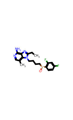 CCc1nc2c(N)ncc(C)c2n1CCCC[S+]([O-])c1ccc(F)cc1F